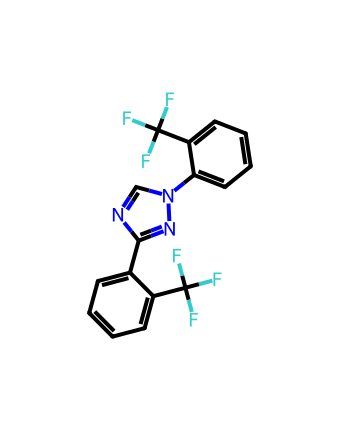 FC(F)(F)c1ccccc1-c1ncn(-c2ccccc2C(F)(F)F)n1